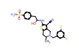 CC1Cc2sc(NC(O)Cc3ccc(S(N)(=O)=O)cc3)c(C#N)c2CN1Cc1cc(F)cc(F)c1